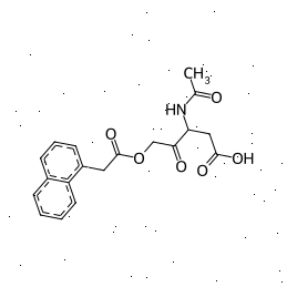 CC(=O)NC(CC(=O)O)C(=O)COC(=O)Cc1cccc2ccccc12